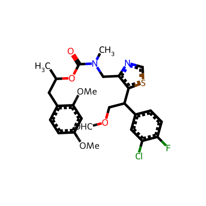 COc1ccc(CC(C)OC(=O)N(C)Cc2ncsc2C(COC=O)c2ccc(F)c(Cl)c2)c(OC)c1